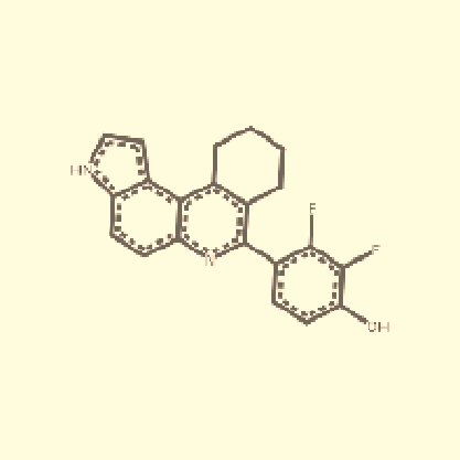 Oc1ccc(-c2nc3ccc4[nH]ccc4c3c3c2CCCC3)c(F)c1F